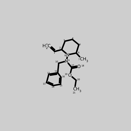 C=CC1CCCC(C)N1N(Cc1ccccc1)C(=O)OCC